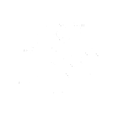 Cc1nnc(N2N=C(c3cc(F)ccc3F)SC2(CCCN)c2cccc(C(=O)O)c2-c2cccc(C(=O)O)c2)s1